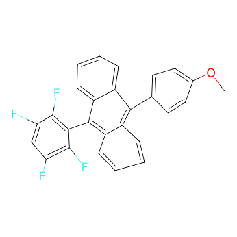 COc1ccc(-c2c3ccccc3c(-c3c(F)c(F)cc(F)c3F)c3ccccc23)cc1